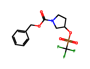 O=C(OCc1ccccc1)N1CCC(OS(=O)(=O)C(F)(F)F)C1